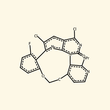 CCCc1nccc2c1-n1c(=O)nc(Cl)c3cc(Cl)c(nc31)-c1c(F)cccc1OCC2